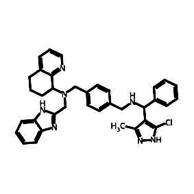 Cc1n[nH]c(Cl)c1C(NCc1ccc(CN(Cc2nc3ccccc3[nH]2)C2CCCc3cccnc32)cc1)c1ccccc1